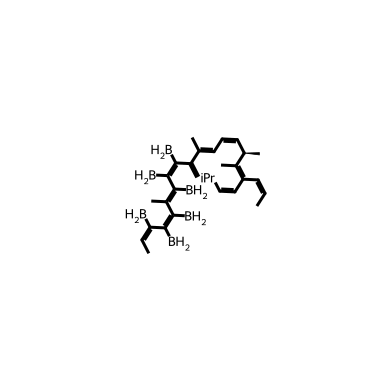 BC(=C/C)/C(B)=C(B)\C(C)=C(B)\C(B)=C(\B)C(=C)/C(C)=C/C=C\[C@@H](C)/C(C)=C(\C=C/C)/C=C\C(C)C